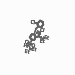 CCC(CC)NS(=O)(=O)c1ccc2c(c1)c(N(CC)CC)nn2Cc1c(Cl)cccc1Cl